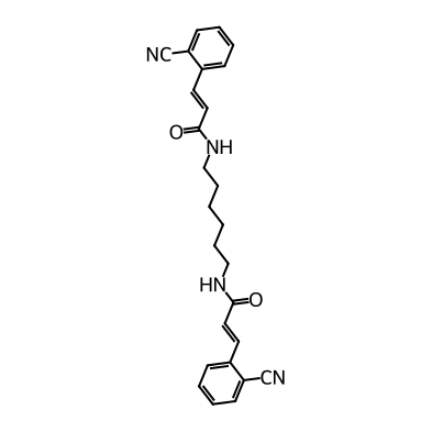 N#Cc1ccccc1C=CC(=O)NCCCCCCNC(=O)C=Cc1ccccc1C#N